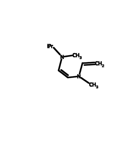 C=CN(C)/C=C\N(C)C(C)C